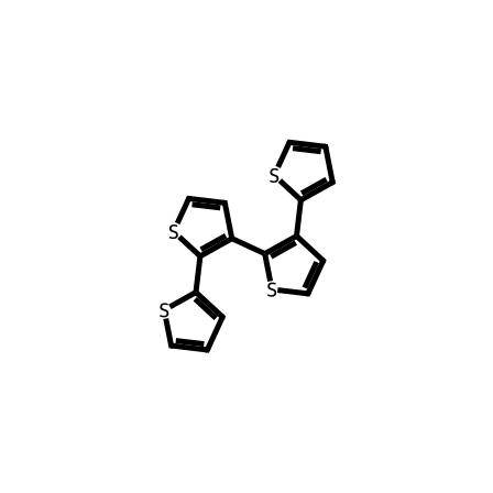 c1csc(-c2ccsc2-c2ccsc2-c2cccs2)c1